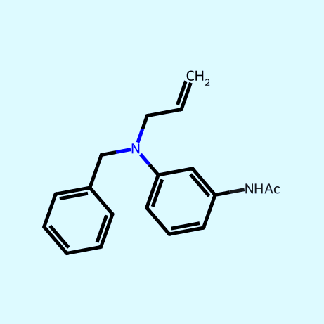 C=CCN(Cc1ccccc1)c1cccc(NC(C)=O)c1